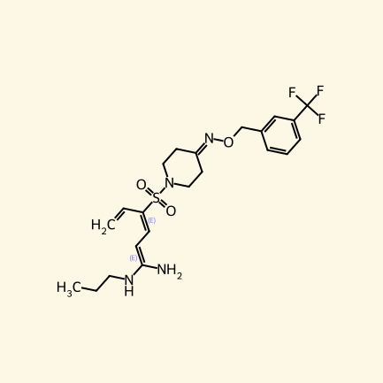 C=C/C(=C\C=C(/N)NCCC)S(=O)(=O)N1CCC(=NOCc2cccc(C(F)(F)F)c2)CC1